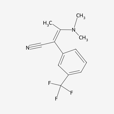 CC(=C(C#N)c1cccc(C(F)(F)F)c1)N(C)C